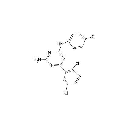 Nc1nc(Nc2ccc(Cl)cc2)cc(-c2cc(Cl)ccc2Cl)n1